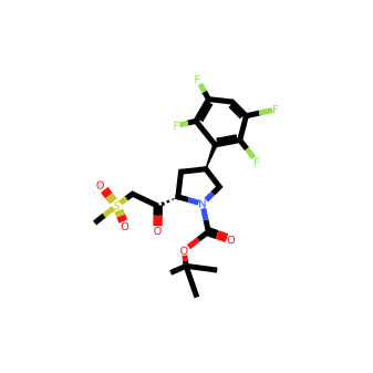 CC(C)(C)OC(=O)N1C[C@H](c2c(F)c(F)cc(F)c2F)C[C@H]1C(=O)CS(C)(=O)=O